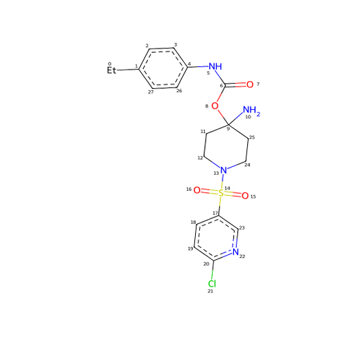 CCc1ccc(NC(=O)OC2(N)CCN(S(=O)(=O)c3ccc(Cl)nc3)CC2)cc1